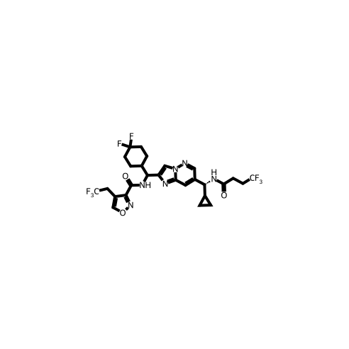 O=C(CCC(F)(F)F)N[C@@H](c1cnn2cc(C(NC(=O)c3nocc3CC(F)(F)F)C3CCC(F)(F)CC3)nc2c1)C1CC1